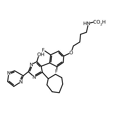 O=C(O)NCCCCOc1cc(F)c(-c2c(O)nc(-c3cnccn3)nc2C2CCCCCC2)c(F)c1